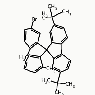 Cc1ccccc1C1(c2cc(Br)ccc2C)c2cc(C(C)(C)C)ccc2-c2ccc(C(C)(C)C)cc21